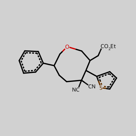 CCOC(=O)CC1COCC(c2ccccc2)CCC(C#N)(C#N)C1c1cccs1